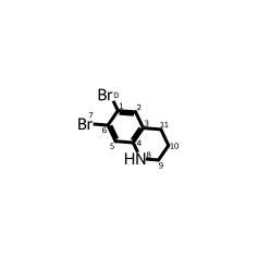 Brc1cc2c(cc1Br)NCCC2